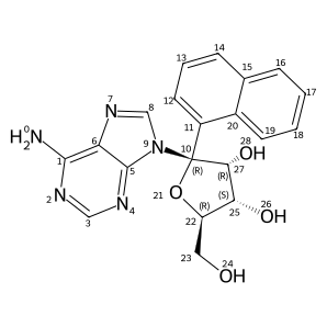 Nc1ncnc2c1ncn2[C@]1(c2cccc3ccccc23)O[C@H](CO)[C@@H](O)[C@H]1O